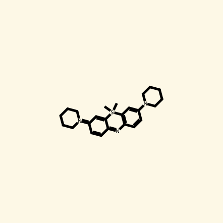 C[Si]1(C)C2=CC(=[N+]3CCCCC3)C=CC2=Nc2ccc(N3CCCCC3)cc21